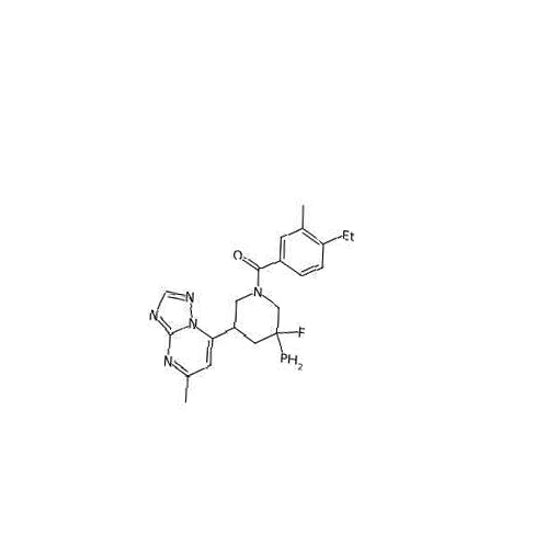 CCc1ccc(C(=O)N2CC(c3cc(C)nc4ncnn34)CC(F)(P)C2)cc1C